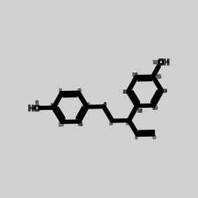 C=CC(CCc1ccc(O)cc1)c1ccc(O)cc1